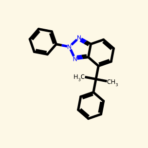 CC(C)(c1ccccc1)c1cccc2nn(-c3ccccc3)nc12